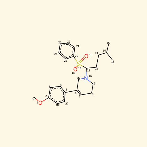 COc1ccc(C2=CCCN(C(CCC(C)C)S(=O)(=O)c3ccccc3)C2)cc1